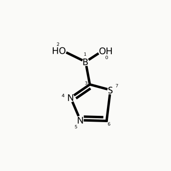 OB(O)c1nncs1